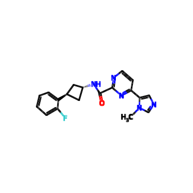 Cn1cncc1-c1ccnc(C(=O)N[C@H]2C[C@H](c3ccccc3F)C2)n1